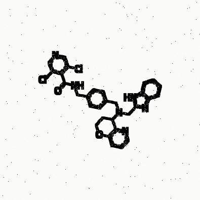 O=C(NCc1ccc(CN(Cc2nc3ccccc3[nH]2)C2CCOc3cccnc32)cc1)c1c(Cl)cncc1Cl